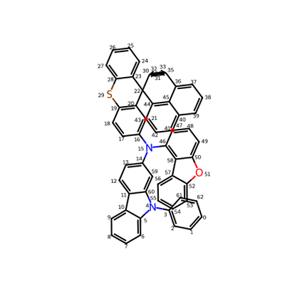 c1ccc(-n2c3ccccc3c3ccc(N(c4ccc5c(c4)C4(c6ccccc6S5)c5ccccc5-c5cccc6cccc4c56)c4cccc5oc6ccccc6c45)cc32)cc1